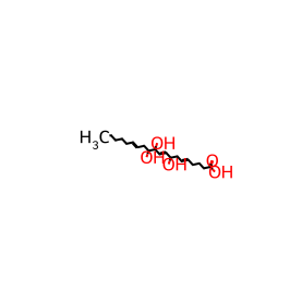 CCCCC/C=C/CC(O)C(O)/C=C/C(O)C/C=C/CCCC(=O)O